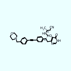 C[C@H](CC#N)NC[C@H](Cc1nc[nH]c(=O)c1O)c1ccc(C#Cc2ccc(CN3CCOCC3)cc2)cc1